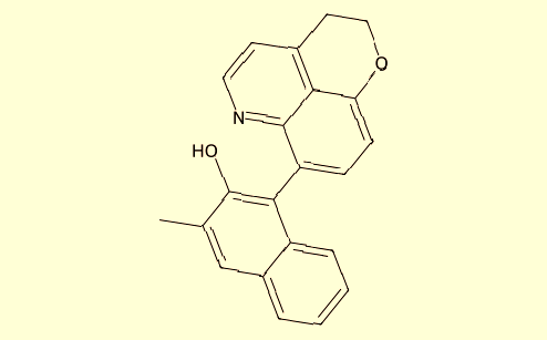 Cc1cc2ccccc2c(-c2ccc3c4c(ccnc24)CCO3)c1O